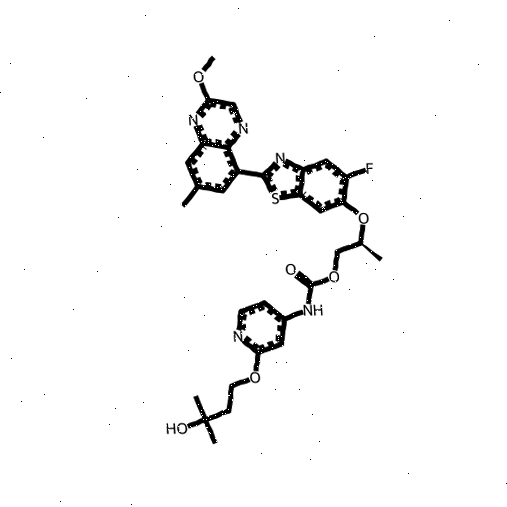 COc1cnc2c(-c3nc4cc(F)c(O[C@@H](C)COC(=O)Nc5ccnc(OCCC(C)(C)O)c5)cc4s3)cc(C)cc2n1